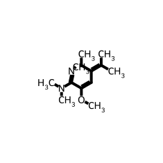 CCC(/C=C(OC)\C(=N/C)N(C)C)=C(C)C